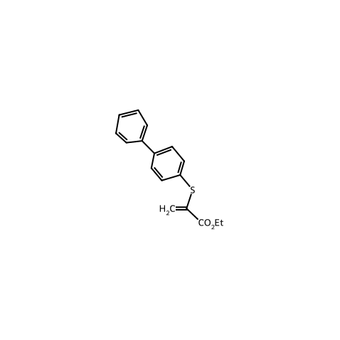 C=C(Sc1ccc(-c2ccccc2)cc1)C(=O)OCC